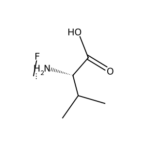 CC(C)[C@H](N)C(=O)O.[C]F